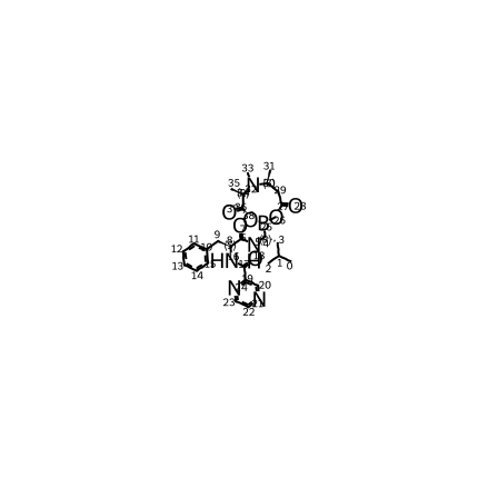 CC(C)C[C@H](NC(=O)[C@H](Cc1ccccc1)NC(=O)c1cnccn1)B1OC(=O)C[C@H](C)N(C)[C@H](C)C(=O)O1